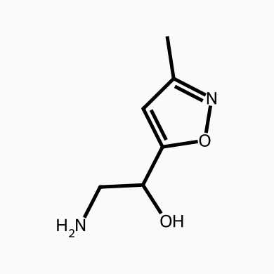 Cc1cc(C(O)CN)on1